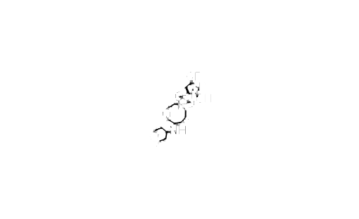 Cn1nc(C(F)(F)F)cc1S(=O)(=O)N1CCCC(NC2CCOCC2)COCC1